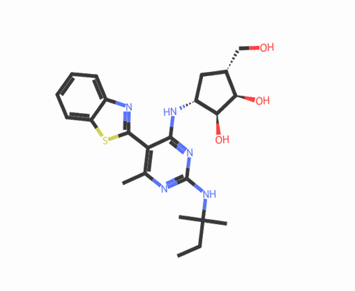 CCC(C)(C)Nc1nc(C)c(-c2nc3ccccc3s2)c(N[C@@H]2C[C@H](CO)[C@@H](O)[C@H]2O)n1